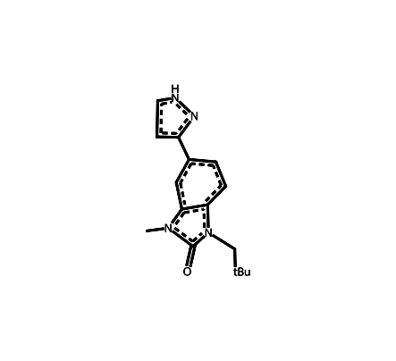 Cn1c(=O)n(CC(C)(C)C)c2ccc(-c3cc[nH]n3)cc21